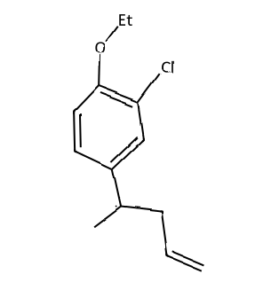 C=CC[C](C)c1ccc(OCC)c(Cl)c1